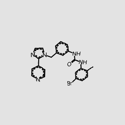 Cc1ccc(Br)cc1NC(=O)Nc1cccc(Cn2ccnc2-c2ccncc2)c1